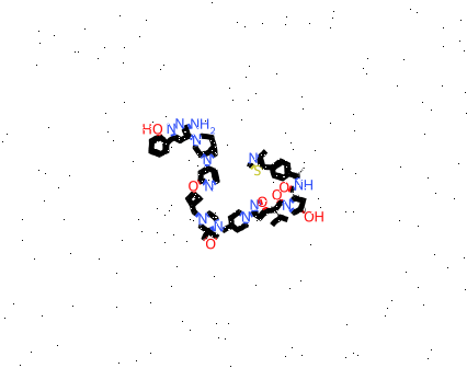 Cc1ncsc1-c1ccc([C@H](C)NC(=O)[C@@H]2C[C@@H](O)CN2C(=O)[C@@H](c2cc(N3CCC(CN4CCN(CC5CC(Oc6cc(N7CC8CCN(c9cc(-c%10ccccc%10O)nnc9N)CC7C8)ccn6)C5)CC45COC5)CC3)no2)C(C)C)cc1